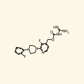 N=C(N)NC(=O)OCc1ccnc(N2CCN(c3ccccc3F)CC2)c1F